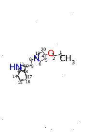 CCCOC1CCN(CCc2c[nH]c3ccccc23)CC1